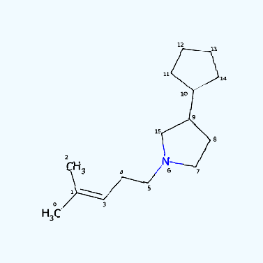 CC(C)=CCCN1CCC(C2CCCC2)C1